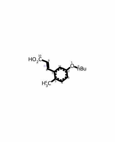 CCCCOc1ccc(C)c(/C=C/C(=O)O)c1